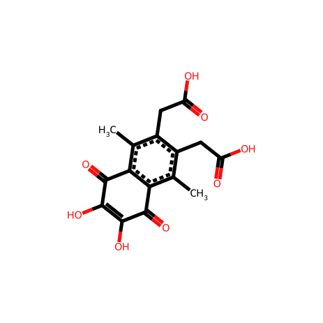 Cc1c(CC(=O)O)c(CC(=O)O)c(C)c2c1C(=O)C(O)=C(O)C2=O